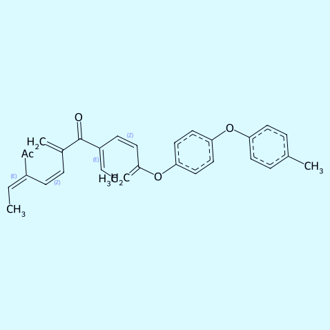 C=C(/C=C\C(=C/C)C(=O)C(=C)/C=C\C(=C/C)C(C)=O)Oc1ccc(Oc2ccc(C)cc2)cc1